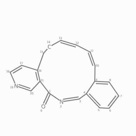 O=C1N=Cc2ccccc2C=CC=CCCc2ccncc21